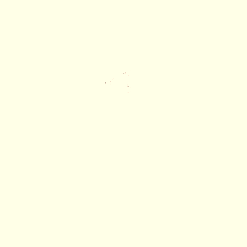 CCCCCCCCCCCCCCCCC([C]=O)(C(C)=O)C(C)=O